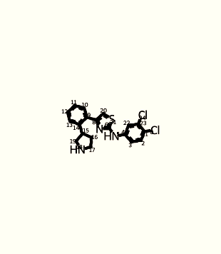 Clc1ccc(Nc2nc(-c3ccccc3C3CCNC3)cs2)cc1Cl